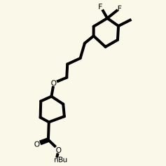 CCCCOC(=O)C1CCC(OCCCCC2CCC(C)C(F)(F)C2)CC1